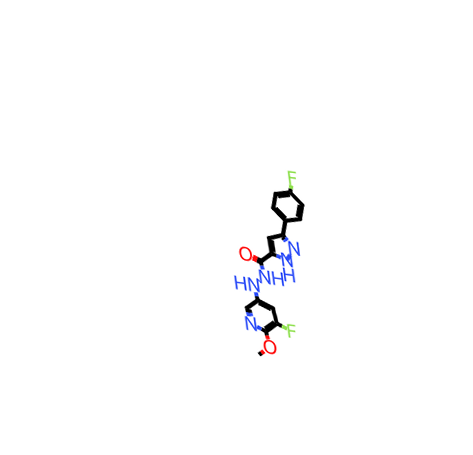 COc1ncc(NNC(=O)c2cc(-c3ccc(F)cc3)n[nH]2)cc1F